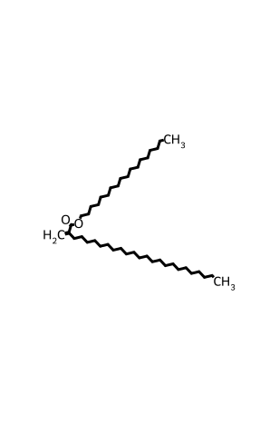 C=C(CCCCCCCCCCCCCCCCCCCCCCC)C(=O)OCCCCCCCCCCCCCCCCCC